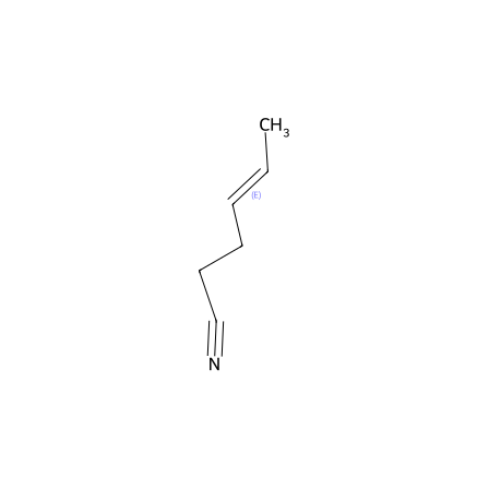 C/C=C/CCC#N